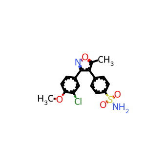 COc1ccc(-c2noc(C)c2-c2ccc(S(N)(=O)=O)cc2)cc1Cl